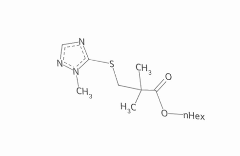 CCCCCCOC(=O)C(C)(C)CSc1ncnn1C